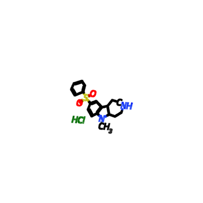 CN1c2ccc(S(=O)(=O)c3ccccc3)cc2C2CCNCCC21.Cl